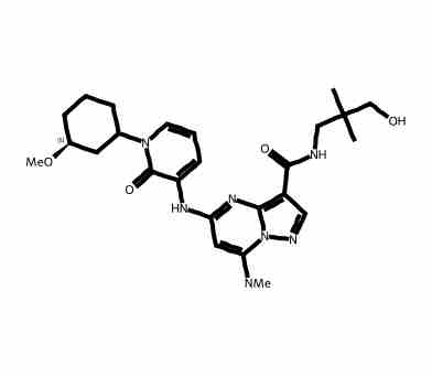 CNc1cc(Nc2cccn(C3CCC[C@H](OC)C3)c2=O)nc2c(C(=O)NCC(C)(C)CO)cnn12